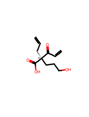 C=CC[C@](CCCO)(C(=O)O)C(=O)C=C